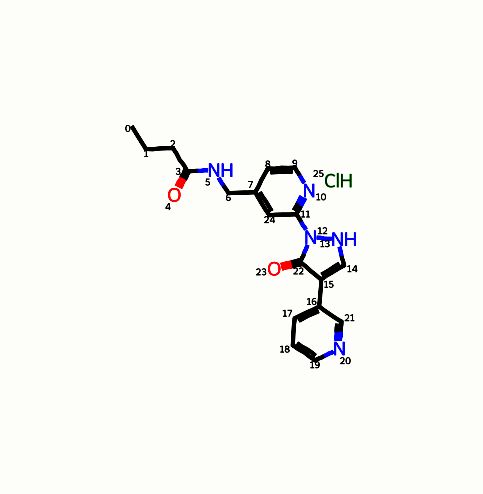 CCCC(=O)NCc1ccnc(-n2[nH]cc(-c3cccnc3)c2=O)c1.Cl